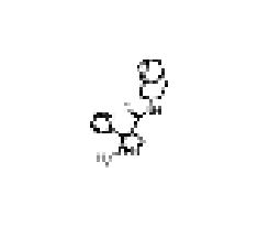 Cn1ncc(C(=O)N[C@H]2CCC3CC4CC(C3)C2C4)c1-n1cccn1